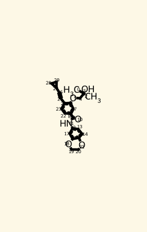 CC(C)(O)COc1cc(C(=O)Nc2ccc3c(c2)OCCO3)ccc1C#CC1CC1